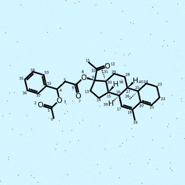 CC(=O)OC(CC(=O)O[C@]1(C(C)=O)CC[C@H]2[C@@H]3C=C(C)C4=CCCC[C@]4(C)[C@H]3CC[C@@]21C)c1ccccc1